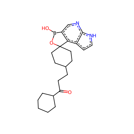 O=C(CCC1CCC2(CC1)OB(O)c1cnc3[nH]ccc3c12)C1CCCCC1